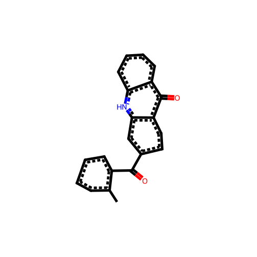 Cc1ccccc1C(=O)c1ccc2c(=O)c3ccccc3[nH]c2c1